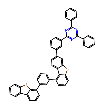 c1ccc(-c2nc(-c3ccccc3)nc(-c3cccc(-c4ccc5c(c4)sc4cccc(-c6cccc(-c7cccc8c7sc7ccccc78)c6)c45)c3)n2)cc1